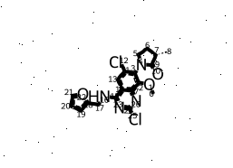 COc1c(N2CC[C@H](C)C2=O)c(Cl)cc2c(NCc3ccco3)nc(Cl)nc12